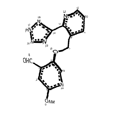 COc1cc(C=O)c(OCc2cccnc2-c2nn[nH]n2)cn1